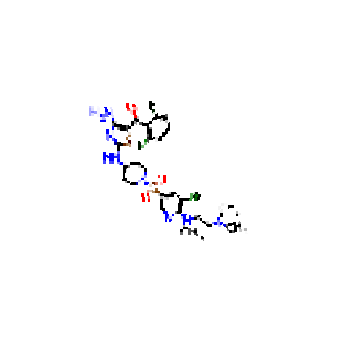 CN(C)CCN(C)c1ncc(S(=O)(=O)N2CCC(Nc3nc(N)c(C(=O)c4c(F)cccc4F)s3)CC2)cc1Br